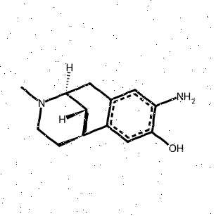 CN1CC[C@]23CCCC[C@H]2[C@@H]1Cc1cc(N)c(O)cc13